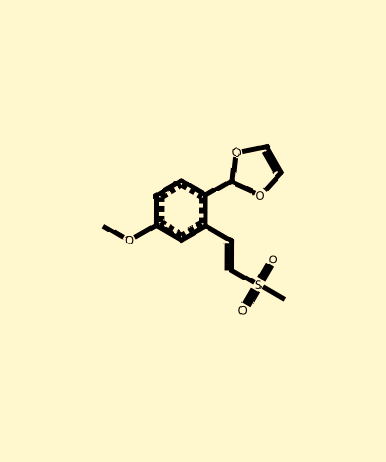 COc1ccc(C2OC=CO2)c(C=CS(C)(=O)=O)c1